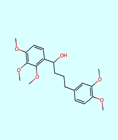 COc1ccc(CCCC(O)c2ccc(OC)c(OC)c2OC)cc1OC